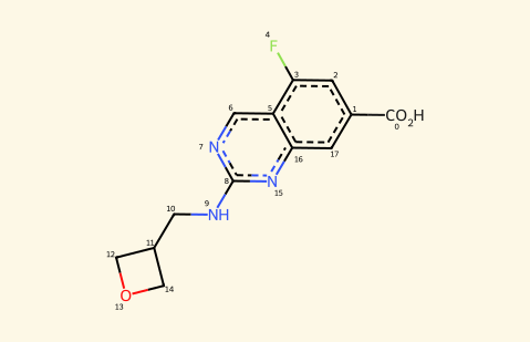 O=C(O)c1cc(F)c2cnc(NCC3COC3)nc2c1